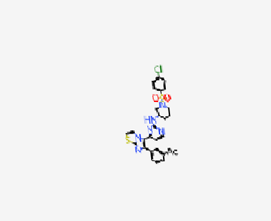 CC(=O)c1cccc(-c2nc3sccn3c2-c2ccnc(N[C@@H]3CCCN(S(=O)(=O)c4ccc(Cl)cc4)C3)n2)c1